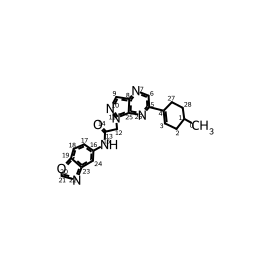 CC1CC=C(c2cnc3cnn(CC(=O)Nc4ccc5ocnc5c4)c3n2)CC1